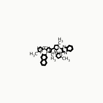 C[C@@H]1CC[C@@H](C)P1c1cc2ccccc2cc1P1[C@H](C)CC(C2C[C@@H](C)P(c3nc4ccccc4nc3P3[C@H](C)CC[C@H]3C)[C@@H]2C)[C@H]1C